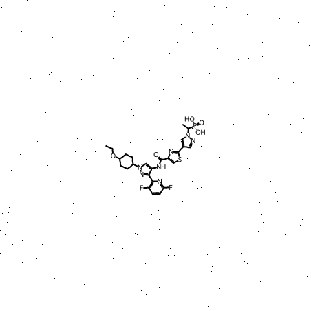 CCOC1CCC(n2cc(NC(=O)c3csc(-c4cnn(C(C)P(=O)(O)O)c4)n3)c(-c3nc(F)ccc3F)n2)CC1